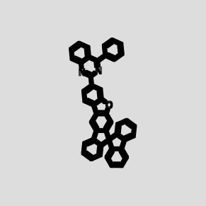 c1ccc(-c2nc(-c3ccc4c(c3)oc3cc5c(cc34)-c3ccccc3C53c4ccccc4-c4ccccc43)nc3ccccc23)cc1